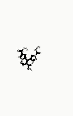 CCOC(C)n1cc(-c2c(C(N)=O)cnn3cc(C(N)=O)cc23)cn1